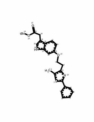 Cc1sc(-c2ccccc2)nc1CCOc1ccc2c(CC(=O)OC(C)(C)C)c[nH]c2c1